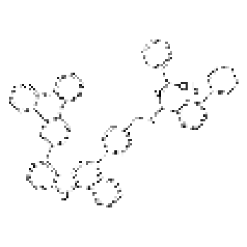 C/C(=N\C(=N/Cc1ccc(-c2cc3c(oc4cccc(-c5ccc6c7ccccc7c7ccccc7c6c5)c43)c3ccccc23)cc1)c1cccc(C2=CCCC=C2)c1)c1ccccc1